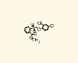 COC(=O)c1ccccc1S(=O)(=O)COc1ccc(Cl)cc1Cl